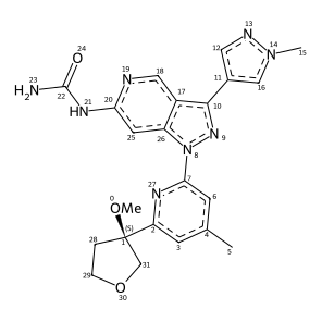 CO[C@]1(c2cc(C)cc(-n3nc(-c4cnn(C)c4)c4cnc(NC(N)=O)cc43)n2)CCOC1